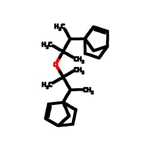 CC(C12C=CC(CC1)C2)[Si](C)(C)O[Si](C)(C)C(C)C12C=CC(CC1)C2